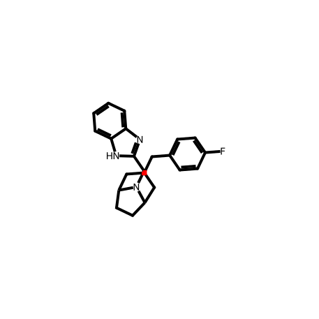 Fc1ccc(CC2CC3CCC(C2)N3Cc2nc3ccccc3[nH]2)cc1